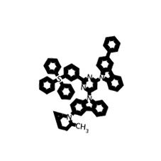 CC1CC=C2CC2N1c1ccc2c(c1)c1ccccc1n2-c1cc(-n2c3ccccc3c3cc(-c4ccccc4)ccc32)nc(-c2cccc(S(c3ccccc3)(c3ccccc3)c3ccccc3)c2)n1